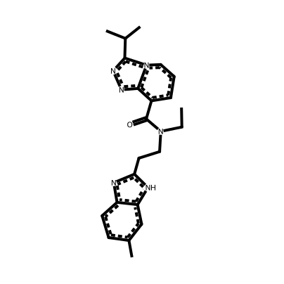 CCN(CCc1nc2ccc(C)cc2[nH]1)C(=O)c1cccn2c(C(C)C)nnc12